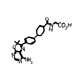 CC1(C)Oc2ncnc(N)c2N=C1c1ccc(C2CCC(C(=O)NCC(=O)O)CC2)cc1